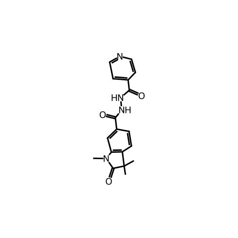 CN1C(=O)C(C)(C)c2ccc(C(=O)NNC(=O)c3ccncc3)cc21